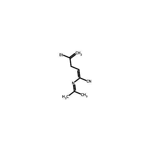 C=C(CC)C/C=C(/C#N)N=C(C)C